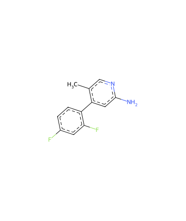 Cc1cnc(N)cc1-c1ccc(F)cc1F